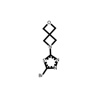 Brc1nnc(N2CC3(COC3)C2)s1